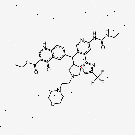 CCNC(=O)Nc1cc(-c2nc(C(F)(F)F)cs2)c(C(c2ccc3[nH]cc(C(=O)OCC)c(=O)c3c2)C2CCN(CCN3CCOCC3)C2)cn1